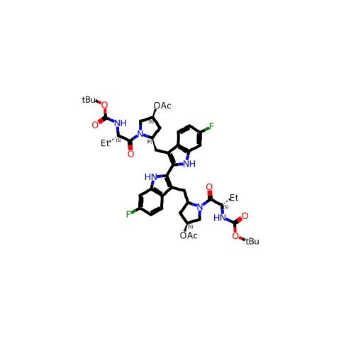 CC[C@H](NC(=O)OC(C)(C)C)C(=O)N1C[C@@H](OC(C)=O)CC1Cc1c(-c2[nH]c3cc(F)ccc3c2C[C@@H]2C[C@H](OC(C)=O)CN2C(=O)[C@H](CC)NC(=O)OC(C)(C)C)[nH]c2cc(F)ccc12